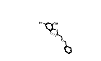 O=C(O)c1cc(O)cc(O)c1OCCOCc1ccccc1